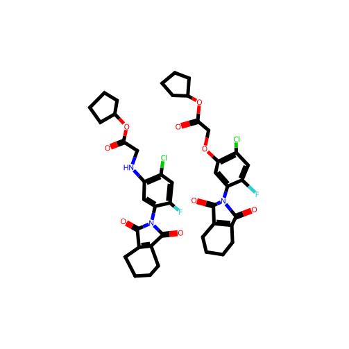 O=C(CNc1cc(N2C(=O)C3=C(CCCC3)C2=O)c(F)cc1Cl)OC1CCCC1.O=C(COc1cc(N2C(=O)C3=C(CCCC3)C2=O)c(F)cc1Cl)OC1CCCC1